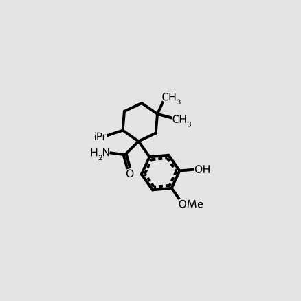 COc1ccc(C2(C(N)=O)CC(C)(C)CCC2C(C)C)cc1O